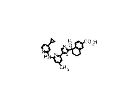 Cc1cc(Nc2cc(C3CC3)ccn2)nc(-c2cnc(C3(O)CCCc4cc(C(=O)O)ccc43)s2)c1